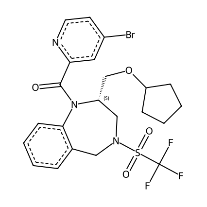 O=C(c1cc(Br)ccn1)N1c2ccccc2CN(S(=O)(=O)C(F)(F)F)C[C@H]1COC1CCCC1